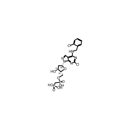 O=P(O)(O)CP(=O)(O)OC[C@H]1O[C@@H](n2ncc3c(NCc4ccccc4Cl)nc(Cl)nc32)C[C@@H]1O